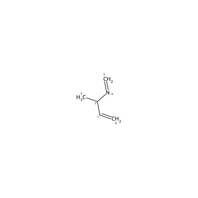 C=CC(C)N=C